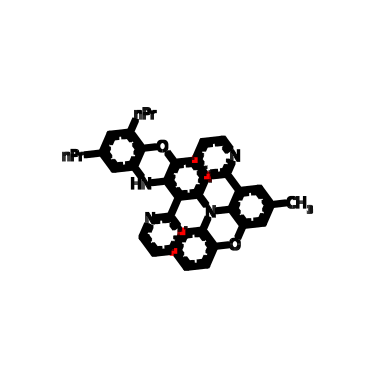 CCCc1cc(CCC)c2c(c1)Nc1c(ccc(N3c4ccccc4Oc4cc(C)cc(-c5ncccn5)c43)c1-c1ncccn1)O2